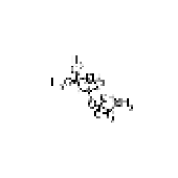 CCC(C)(C)OC(CCl)CC(C)(C)C